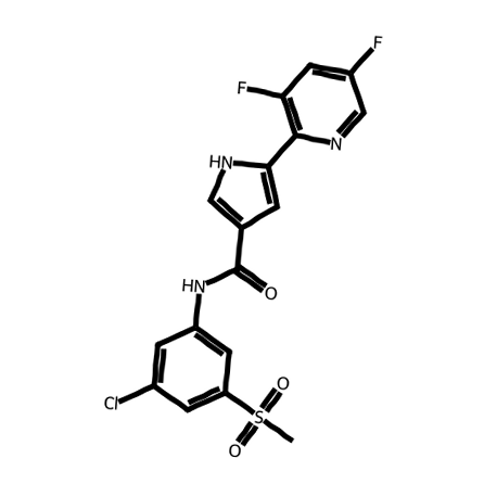 CS(=O)(=O)c1cc(Cl)cc(NC(=O)c2c[nH]c(-c3ncc(F)cc3F)c2)c1